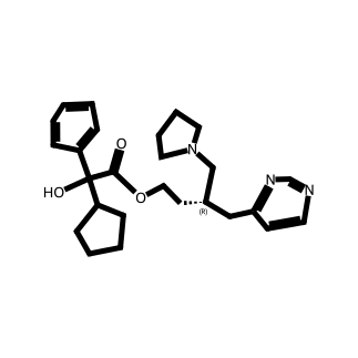 O=C(OCC[C@@H](Cc1ccncn1)CN1CCCC1)C(O)(c1ccccc1)C1CCCC1